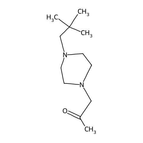 CC(=O)CN1CCN(CC(C)(C)C)CC1